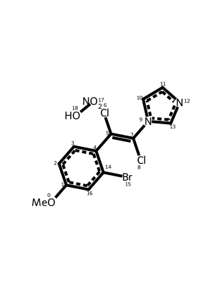 COc1ccc(C(Cl)=C(Cl)n2ccnc2)c(Br)c1.O=[N+]([O-])O